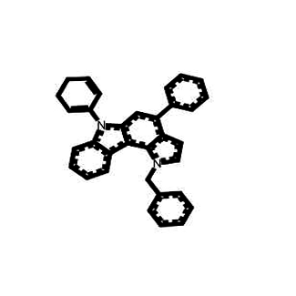 C1=CC(n2c3ccccc3c3c4c(ccn4Cc4ccccc4)c(-c4ccccc4)cc32)=CCC1